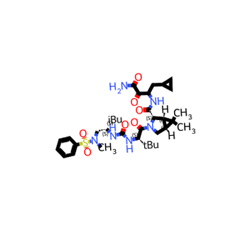 CC[C@H](C)[C@@H](CN(C)S(=O)(=O)c1ccccc1)NC(=O)N[C@H](C(=O)N1C[C@H]2[C@@H]([C@H]1C(=O)NC(CC1CC1)C(=O)C(N)=O)C2(C)C)C(C)(C)C